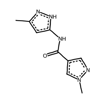 Cc1cc(NC(=O)c2cnn(C)c2)[nH]n1